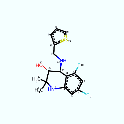 CC1(C)Nc2cc(F)cc(F)c2[C@H](NCc2cccs2)[C@H]1O